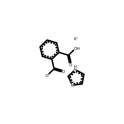 O=C([O-])c1ccccc1C(=O)O.[K+].c1c[nH]cn1